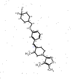 Cc1onc(N2CC/C(=C\c3cccc(OCC4CCC(F)(F)CC4)c3)C(C)C2)c1C